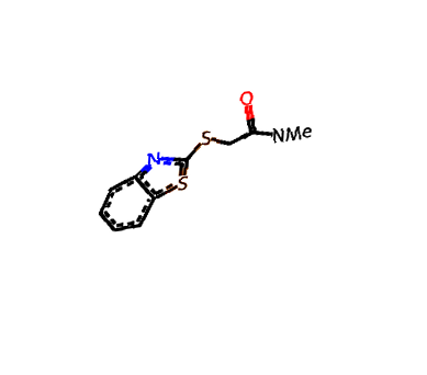 CNC(=O)CSc1nc2ccccc2s1